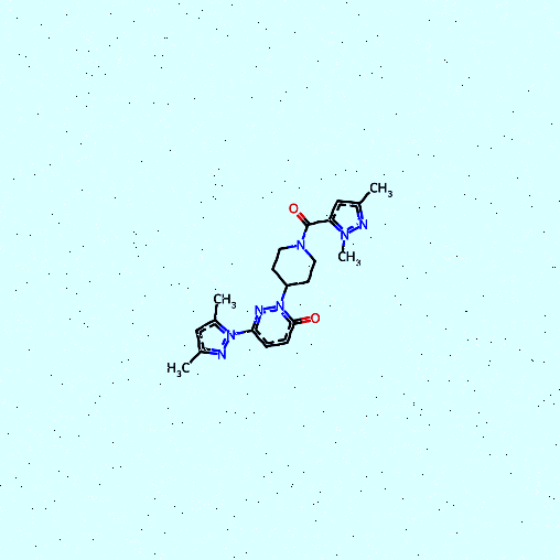 Cc1cc(C(=O)N2CCC(n3nc(-n4nc(C)cc4C)ccc3=O)CC2)n(C)n1